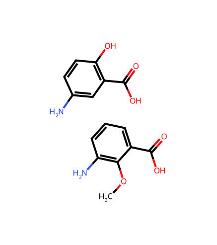 COc1c(N)cccc1C(=O)O.Nc1ccc(O)c(C(=O)O)c1